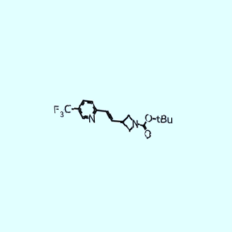 CC(C)(C)OC(=O)N1CC(C=Cc2ccc(C(F)(F)F)cn2)C1